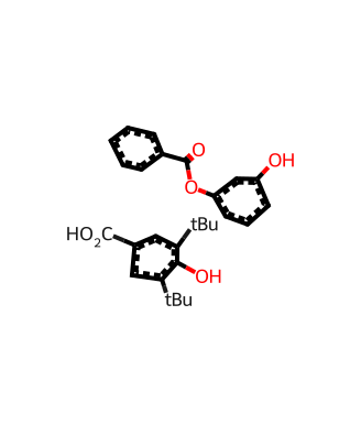 CC(C)(C)c1cc(C(=O)O)cc(C(C)(C)C)c1O.O=C(Oc1cccc(O)c1)c1ccccc1